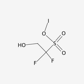 O=S(=O)(OI)C(F)(F)CO